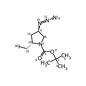 CC(C)(C)OC(=O)N1C[C@H](N=[N+]=[N-])C[C@H]1CI